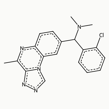 Cc1nc2ccc(C(c3ccccc3Cl)N(C)C)cc2n2cnnc12